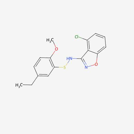 CCc1ccc(OC)c(SNc2noc3cccc(Cl)c23)c1